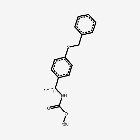 C[C@@H](NC(=O)OC(C)(C)C)c1ccc(SCc2ccccc2)cc1